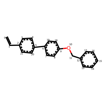 C=Cc1ccc(-c2ccc(OCc3ccccc3)cc2)cc1